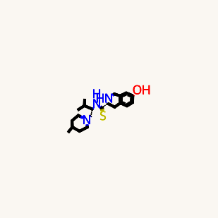 CC1CCN(C[C@@H](NC(=S)[C@H]2Cc3ccc(O)cc3CN2)C(C)C)CC1